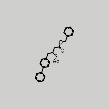 CC(=O)SC(CC(=O)OCc1ccccc1)Cc1ccc(-c2ccccc2)cc1